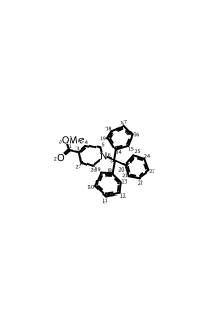 COC(=O)C1=CCN(C(c2ccccc2)(c2ccccc2)c2ccccc2)CC1